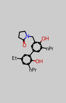 CCCc1cc(-c2cc(CC)cc(CCC)c2O)cc(CN2CCCC2=O)c1O